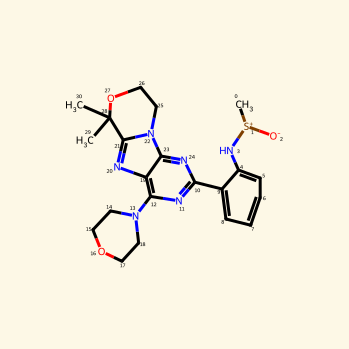 C[S+]([O-])Nc1ccccc1-c1nc(N2CCOCC2)c2nc3n(c2n1)CCOC3(C)C